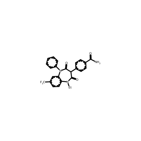 CCN1C(=O)C(c2ccc(C(N)=O)cc2)C(=O)N(c2ccccc2)c2cc(C(F)(F)F)ccc21